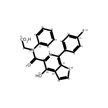 O=C(O)CN(C(=O)c1nc(-c2ccc(F)cc2)c2sccc2c1O)c1ccccc1